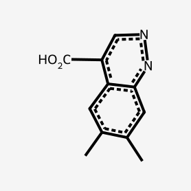 Cc1cc2nncc(C(=O)O)c2cc1C